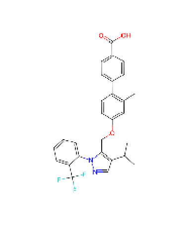 Cc1cc(OCc2c(C(C)C)cnn2-c2ccccc2C(F)(F)F)ccc1-c1ccc(C(=O)O)cc1